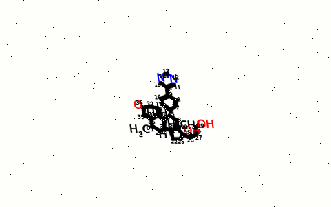 C[C@@H]1C[C@@H]2[C@H]([C@@H](c3ccc(-c4cncnc4)cc3)C[C@@]3(C)[C@H]2CC[C@@]3(O)/C=C\CO)[C@H]2CCC(=O)C=C12